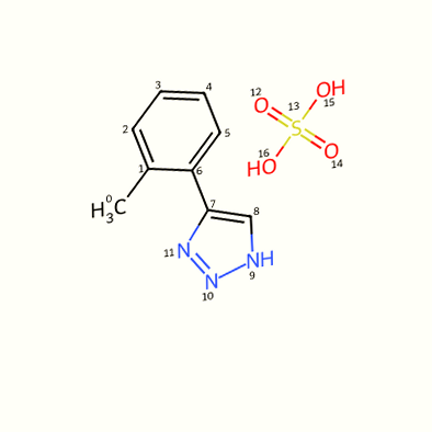 Cc1ccccc1-c1c[nH]nn1.O=S(=O)(O)O